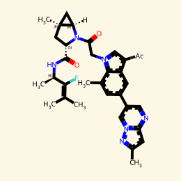 CC(=O)c1cn(CC(=O)N2[C@H](C(=O)N[C@H](C)C(F)=C(C)C)C[C@@]3(C)C[C@@H]23)c2c(C)cc(-c3cnc4cc(C)nn4c3)cc12